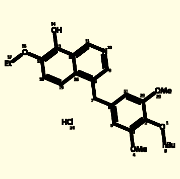 CCCCOc1c(OC)cc(Cc2cncc3c(O)c(OCC)ccc23)cc1OC.Cl